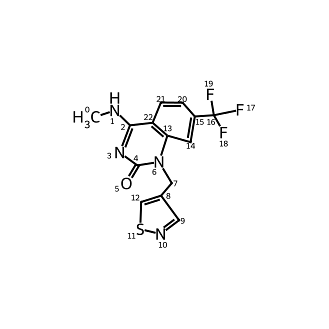 CNc1nc(=O)n(Cc2cnsc2)c2cc(C(F)(F)F)ccc12